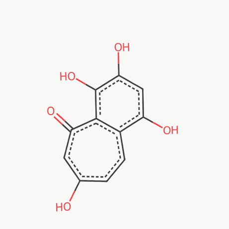 O=c1cc(O)ccc2c(O)cc(O)c(O)c12